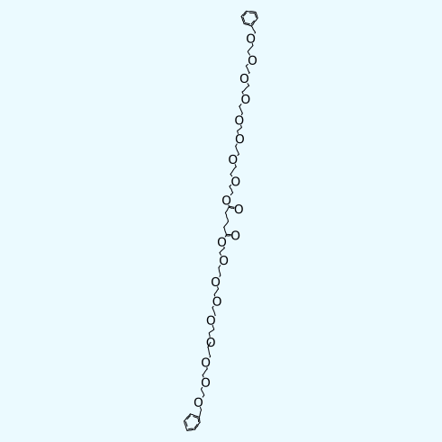 O=C(CCCC(=O)OCCOCCOCCOCCOCCOCCOCCOCCOCc1ccccc1)OCCOCCOCCOCCOCCOCCOCCOCCOCc1ccccc1